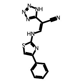 N#CC(=CNc1nc(-c2ccccc2)cs1)c1nnn[nH]1